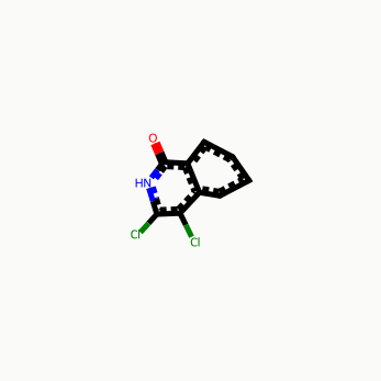 O=c1[nH]c(Cl)c(Cl)c2ccccc12